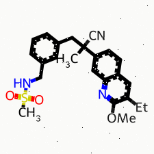 CCc1cc2ccc(C(C)(C#N)Cc3cccc(CNS(C)(=O)=O)c3)cc2nc1OC